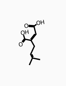 CC(C)=CCC(=CC(=O)O)C(=O)O